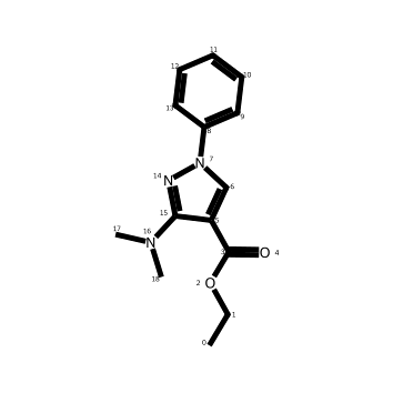 CCOC(=O)c1cn(-c2ccccc2)nc1N(C)C